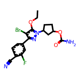 CCOc1c(Br)c(-c2ccc(C#N)c(F)c2)nn1C1CCC(OC(N)=O)C1